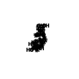 CCc1cccc2cc(O)cc(-c3ncc4c(N5CC6CCC(C5)N6)nc(OCCN5CCC(CC6(F)CN(CC(=O)NC(C(=O)N7C[C@H](O)C[C@H]7C(=O)NC(C)c7ccc(-c8scnc8C)cc7)C(C)(C)C)C6)CC5)nc4c3F)c12